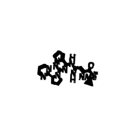 CN/C(=C\C(=N)Nc1nc(N2CCC[C@H]2c2ncccn2)nn2cccc12)C(=O)N(C)C1CC1